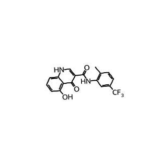 Cc1ccc(C(F)(F)F)cc1NC(=O)c1c[nH]c2cccc(O)c2c1=O